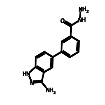 NNC(=O)c1cccc(-c2ccc3[nH]nc(N)c3c2)c1